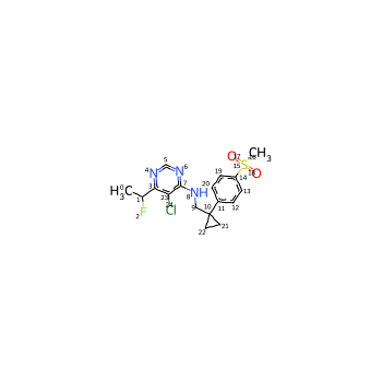 CC(F)c1ncnc(NCC2(c3ccc(S(C)(=O)=O)cc3)CC2)c1Cl